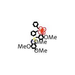 COc1cc(OC)c(/C=C\SCc2ccc(OC)c(OP(=O)(OCc3ccccc3)OCc3ccccc3)c2)c(OC)c1